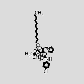 CCCCCCCCCCCCOC[C@@]12O[C@@H](CN3CCCC3)[C@@H](OC(=O)Nc3ccc(Cl)cc3)[C@@H]1OC(C)(C)O2